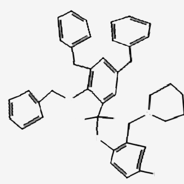 CCCC(C)(Pc1ccc(F)cc1CN1CCCCC1)c1cc(Cc2ccccc2)cc(Cc2ccccc2)c1OCc1ccccc1